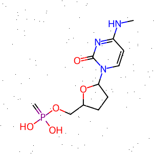 C=P(O)(O)OCC1CCC(n2ccc(NC)nc2=O)O1